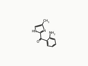 Cc1c[nH]c(C(=O)c2ccccc2N)n1